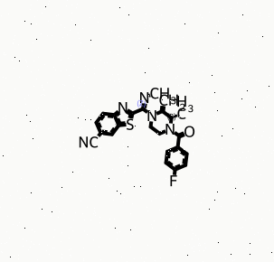 C=C1[C@@H](C)N(C(=O)c2ccc(F)cc2)CCN1/C(=N\C)c1nc2ccc(C#N)cc2s1